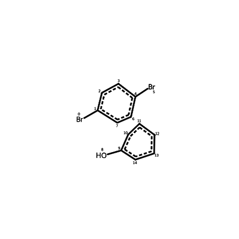 Brc1ccc(Br)cc1.Oc1ccccc1